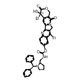 CCc1c2c(nc3ccc(OC(=O)NCC4CCCN4C(c4ccccc4)c4ccccc4)cc13)-c1cc3c(c(=O)n1C2)COC(=O)[C@]3(O)CC